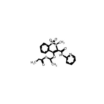 CCC(=O)OC(C)OC1=C(C(=O)Nc2ccccn2)N(C)S(=O)(=O)c2ccccc21